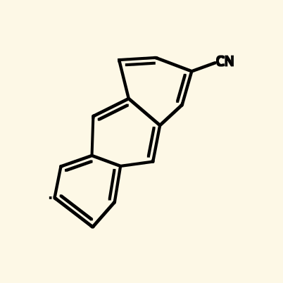 N#Cc1ccc2cc3c[c]ccc3cc2c1